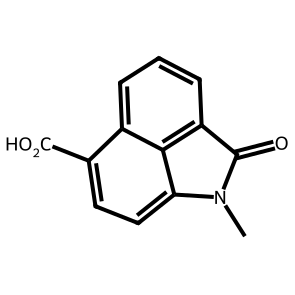 CN1C(=O)c2cccc3c(C(=O)O)ccc1c23